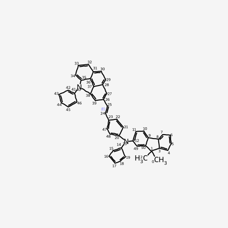 CC1(C)c2ccccc2-c2ccc(N(c3ccccc3)c3ccc(/C=C/c4cc5ccc6cccc7c6c5c(c4)n7-c4ccccc4)cc3)cc21